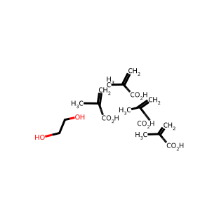 C=C(C)C(=O)O.C=C(C)C(=O)O.C=C(C)C(=O)O.C=C(C)C(=O)O.OCCO